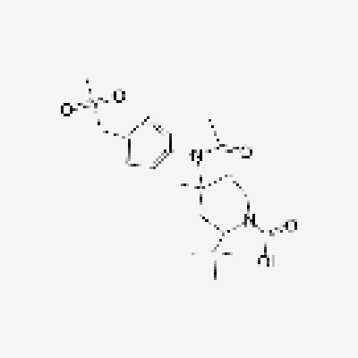 CC(=O)N(c1ccc(CS(C)(=O)=O)cc1)C1(C)CCN(C(=O)O)C(C(C)(C)C)C1